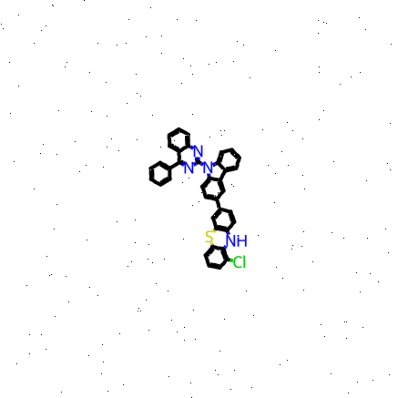 Clc1cccc2c1Nc1ccc(-c3ccc4c(c3)c3ccccc3n4-c3nc(-c4ccccc4)c4ccccc4n3)cc1S2